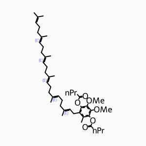 CCCC(=O)Oc1c(C)c(C/C=C(\C)CC/C=C(\C)CC/C=C(\C)CC/C=C(\C)CC/C=C(\C)CCC=C(C)C)c(OC(=O)CCC)c(OC)c1OC